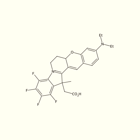 CCN(CC)c1ccc2c(c1)OC1CC[N+]3=C(C1=C2)C(C)(CC(=O)O)c1c(F)c(F)c(F)c(F)c13